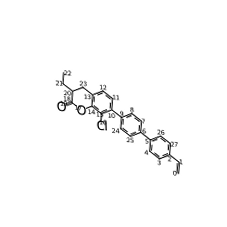 C=Cc1ccc(-c2ccc(-c3ccc4c(c3Cl)OC(=O)C(CC)C4)cc2)cc1